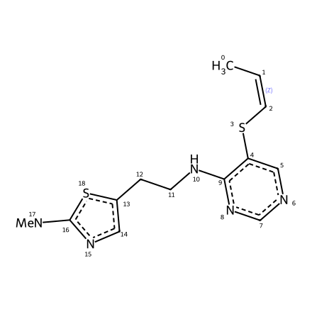 C/C=C\Sc1cncnc1NCCc1cnc(NC)s1